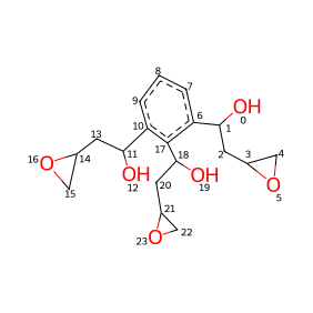 OC(CC1CO1)c1cccc(C(O)CC2CO2)c1C(O)CC1CO1